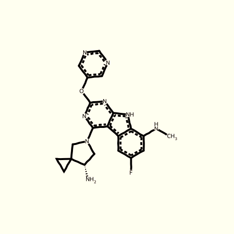 CNc1cc(F)cc2c1[nH]c1nc(Oc3cncnc3)nc(N3C[C@H](N)C4(CC4)C3)c12